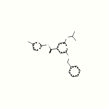 Cc1csc(NC(=O)c2cc(OCc3ccccc3)nc(OC(C)C)c2)n1